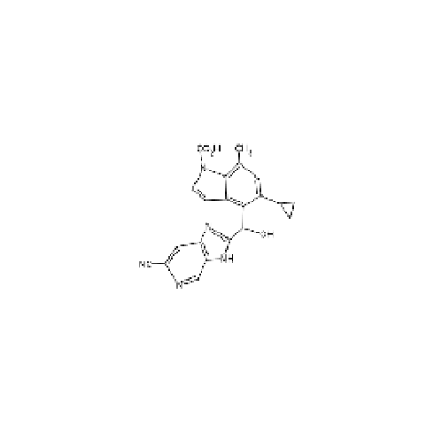 Cc1cc(C2CC2)c(C(O)c2nc3cc(C#N)ncc3[nH]2)c2ccn(C(=O)O)c12